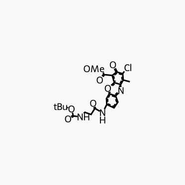 COC(=O)c1c2oc3cc(NC(=O)CCNC(=O)OC(C)(C)C)ccc3nc-2c(C)c(Cl)c1=O